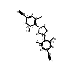 C#CC1=CC(C)=C(N2CCN(c3c(C)cc(C#C)cc3C)C2)[C@@H](C)C1